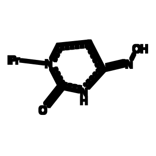 CC(C)n1cc/c(=N\O)[nH]c1=O